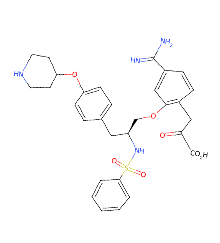 N=C(N)c1ccc(CC(=O)C(=O)O)c(OC[C@H](Cc2ccc(OC3CCNCC3)cc2)NS(=O)(=O)c2ccccc2)c1